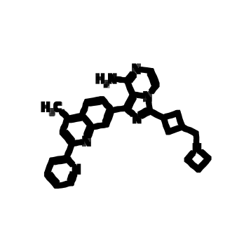 Cc1cc(-c2ccccn2)nc2cc(-c3nc(C4CC(CN5CCC5)C4)n4ccnc(N)c34)ccc12